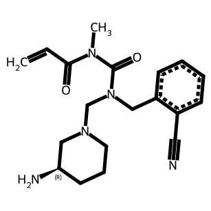 C=CC(=O)N(C)C(=O)N(Cc1ccccc1C#N)CN1CCC[C@@H](N)C1